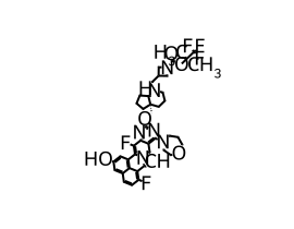 C#Cc1c(F)ccc2cc(O)cc(-c3ncc4c(N5CCCOCC5)nc(OC[C@]56CCC[C@H]5N(CC5CN(C(=O)OC(C)(C)C(F)(F)F)C5)CCC6)nc4c3F)c12